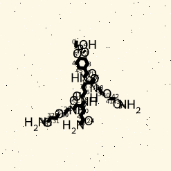 CCP(=O)(O)OC1CCC(C(=O)NC(CCC(=O)NC(CCC(N)=O)C(=O)NCCOCCON)C(=O)NCCOCCON)CC1